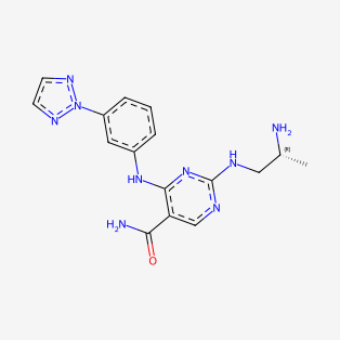 C[C@@H](N)CNc1ncc(C(N)=O)c(Nc2cccc(-n3nccn3)c2)n1